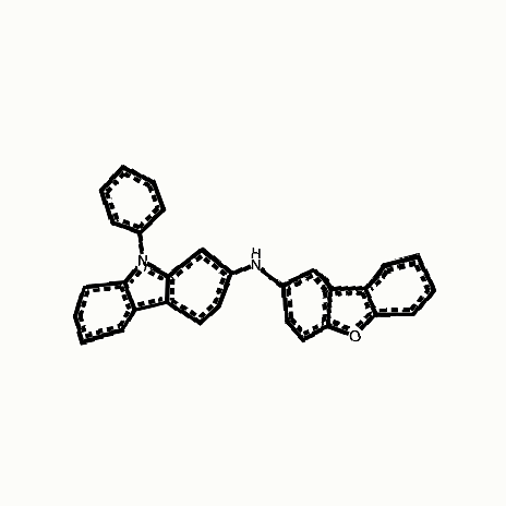 c1ccc(-n2c3ccccc3c3ccc(Nc4ccc5oc6ccccc6c5c4)cc32)cc1